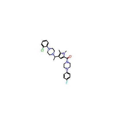 Cc1c(C(C)N2CCN(c3ccccc3Cl)CC2)cc(C(=O)N2CCN(c3ccc(F)cc3)CC2)n1C